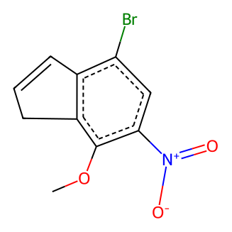 COc1c([N+](=O)[O-])cc(Br)c2c1CC=C2